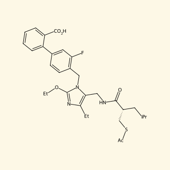 CCOc1nc(CC)c(CNC(=O)[C@@H](CSC(C)=O)CC(C)C)n1Cc1ccc(-c2ccccc2C(=O)O)cc1F